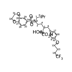 CC(C)CN(CCC(Cc1ccc(OCCCC(F)(F)F)cc1)N(O)C(=O)O)S(=O)(=O)c1ccc2c(c1)OCCO2